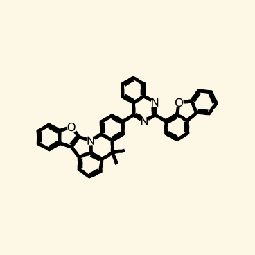 CC1(C)c2cc(-c3nc(-c4cccc5c4oc4ccccc45)nc4ccccc34)ccc2-n2c3oc4ccccc4c3c3cccc1c32